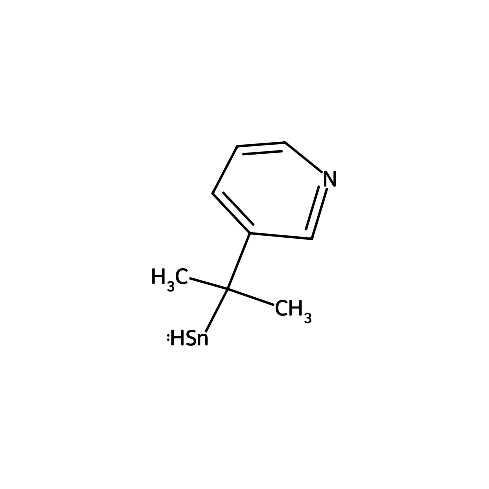 C[C](C)([SnH])c1cccnc1